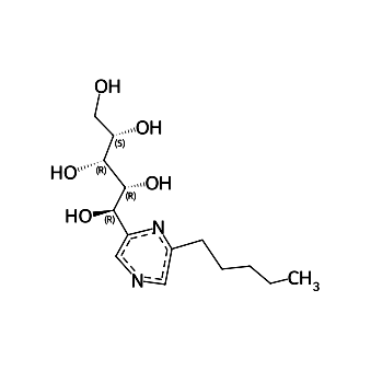 CCCCCc1cncc([C@@H](O)[C@@H](O)[C@H](O)[C@@H](O)CO)n1